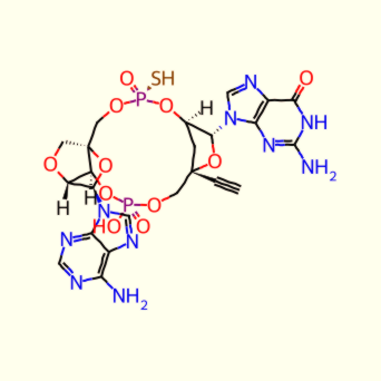 C#C[C@@]12COP(=O)(O)O[C@H]3[C@H]4OC[C@]3(CO[P@@](=O)(S)O[C@H](C1)[C@H](n1cnc3c(=O)[nH]c(N)nc31)O2)O[C@H]4n1cnc2c(N)ncnc21